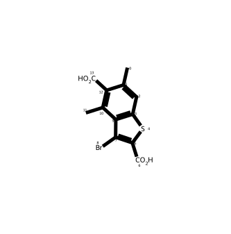 Cc1cc2sc(C(=O)O)c(Br)c2c(C)c1C(=O)O